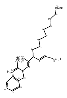 C=C(C(=O)O)C(C=C(C(=O)O)C(C=CC(=O)O)CCCCCCCCCCCCCCCCCC)Cc1ccccc1